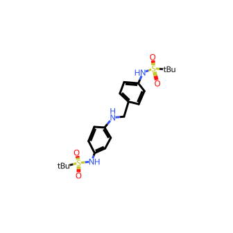 CC(C)(C)S(=O)(=O)Nc1ccc(CNc2ccc(NS(=O)(=O)C(C)(C)C)cc2)cc1